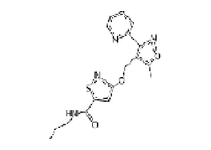 CCCNC(=O)c1cc(OCc2c(-c3ccccn3)noc2C)ns1